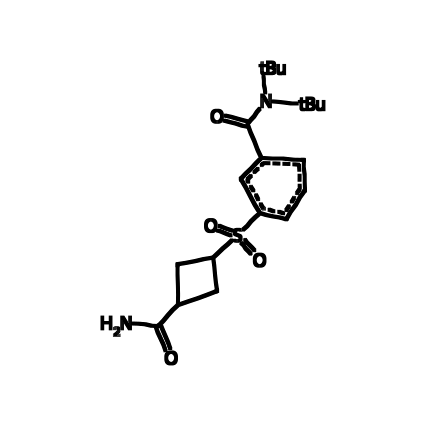 CC(C)(C)N(C(=O)c1cccc(S(=O)(=O)C2CC(C(N)=O)C2)c1)C(C)(C)C